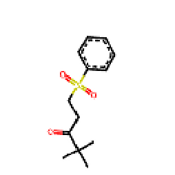 CC(C)(C)C(=O)CCS(=O)(=O)c1ccccc1